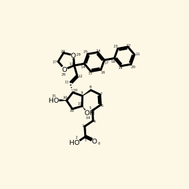 O=C(O)CCC/C=C\C[C@@H]1[C@@H](/C=C/C2(c3ccc(-c4ccccc4)cc3)OCCO2)[C@H](O)C[C@H]1O